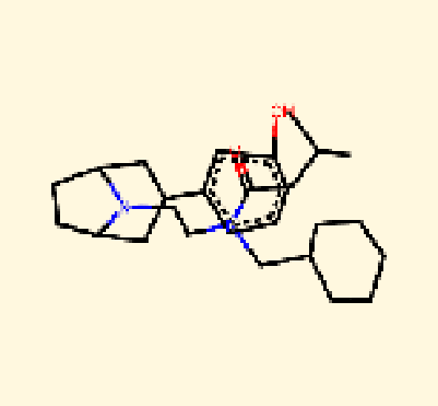 CC(C)CC(=O)N(CCN1C2CCC1CC(c1cccc(O)c1)C2)CC1CCCCC1